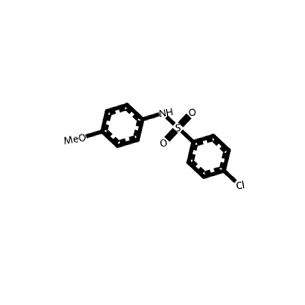 COc1ccc(NS(=O)(=O)c2ccc(Cl)cc2)cc1